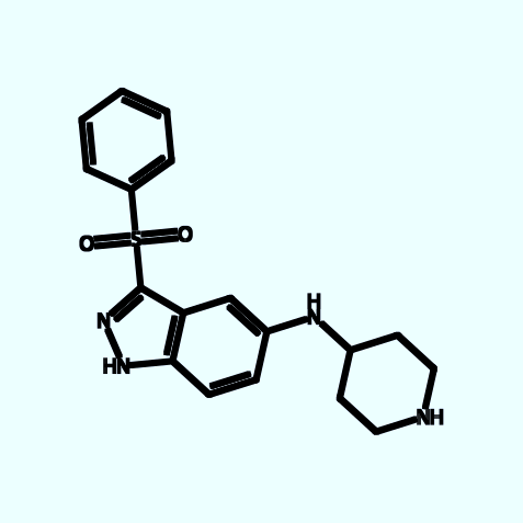 O=S(=O)(c1ccccc1)c1n[nH]c2ccc(NC3CCNCC3)cc12